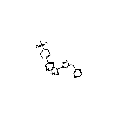 CS(=O)(=O)N1CC=C(c2cnc3[nH]cc(-c4cnn(Cc5ccccc5)c4)c3c2)CC1